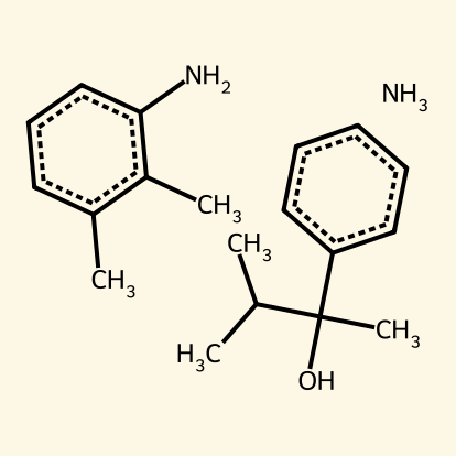 CC(C)C(C)(O)c1ccccc1.Cc1cccc(N)c1C.N